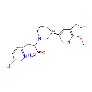 COc1ncc([C@@H]2CCCN(C(Cc3ccc(Cl)cn3)C(N)=O)C2)cc1CO